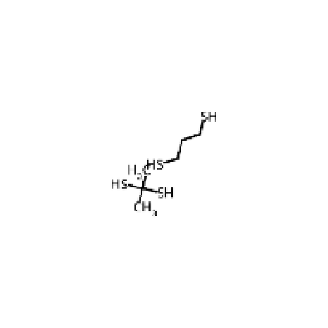 CC(C)(S)S.SCCCS